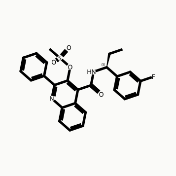 CC[C@H](NC(=O)c1c(OS(C)(=O)=O)c(-c2ccccc2)nc2ccccc12)c1cccc(F)c1